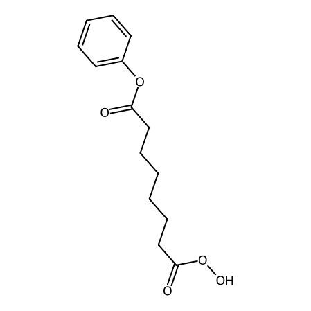 O=C(CCCCCCC(=O)Oc1ccccc1)OO